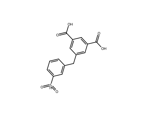 O=C(O)c1cc(Cc2cccc([SH](=O)=O)c2)cc(C(=O)O)c1